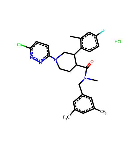 Cc1cc(F)ccc1C1CN(c2ccc(Cl)nn2)CCC1C(=O)N(C)Cc1cc(C(F)(F)F)cc(C(F)(F)F)c1.Cl